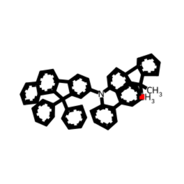 CC1(C)c2ccccc2-c2ccc(N(c3ccc4c(c3)C(c3ccccc3)(c3ccccc3)c3c-4ccc4ccccc34)c3ccccc3-c3ccccc3)cc21